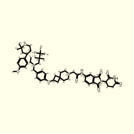 COc1ccc([C@]2(CCN(Cc3ccc(OC4CC5(CCN(CC(=O)Nc6ccc7c(c6)C(=O)N(C6CCC(=O)NC6=O)C7=O)CC5)C4)cc3)CC(C)(C)C(F)(F)F)CCOC(C)(C)C2)cc1